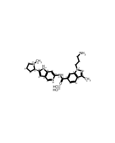 Cc1nn(CCCN)c2cc(C(=O)Nc3cc4[nH]c([C@H]5CCCN5C)cc4cn3)ccc12.Cl.Cl